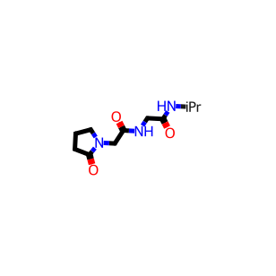 CC(C)NC(=O)CNC(=O)CN1CCCC1=O